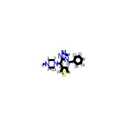 CN1CCN(C(c2ccsc2)c2nncn2Cc2ccccc2)CC1